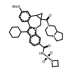 COc1ccc2c(c1)C1CC1(C(=O)N1CCN3CCCC3C1)Cn1c-2c(C2CCCCC2)c2ccc(C(=O)NS(=O)(=O)N3CCC3)cc21